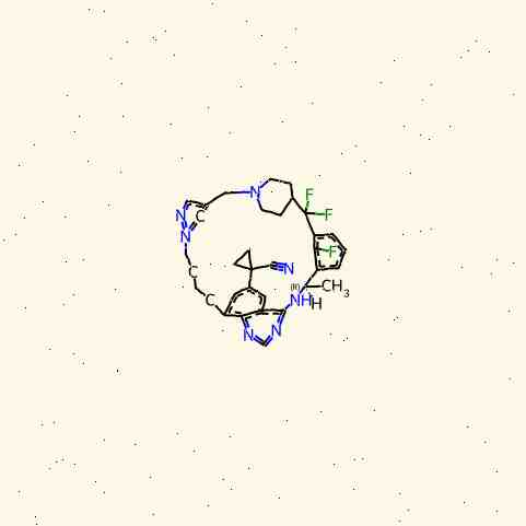 C[C@H]1Nc2ncnc3c(cc(C4(C#N)CC4)cc23)CCCCn2cc(cn2)CN2CCC(CC2)C(F)(F)c2cccc1c2F